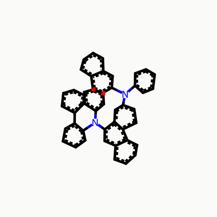 c1ccc(-c2ccccc2N(c2ccccc2)c2cc3ccccc3c3ccc(N(c4ccccc4)c4ccc5ccccc5c4)cc23)cc1